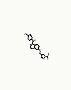 FC(F)n1cc(COc2ccc3c(Nc4ccc(Cl)nc4)nccc3c2)cn1